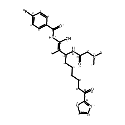 C/C(=C(/C#N)NC(=O)c1ccc(F)cc1)C(CCCCCC(=O)c1ncco1)NC(=O)CN(C)C